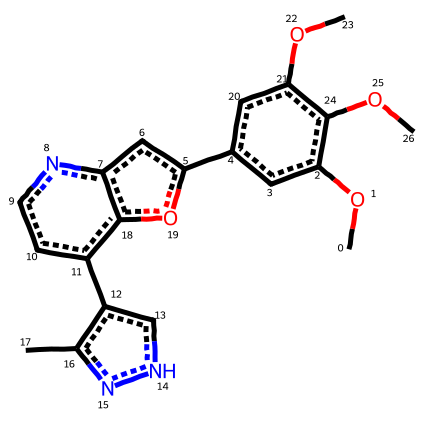 COc1cc(-c2cc3nccc(-c4c[nH]nc4C)c3o2)cc(OC)c1OC